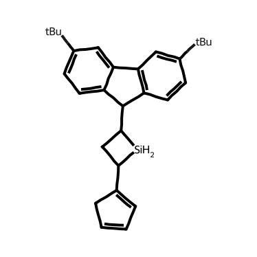 CC(C)(C)c1ccc2c(c1)-c1cc(C(C)(C)C)ccc1C2C1CC(C2=CC=CC2)[SiH2]1